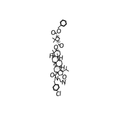 CC(C)C1=C2[C@H]3CC[C@@H]4[C@@]5(C)CC[C@H](OC(=O)[C@H]6C[C@@H](C(=O)OCc7ccccc7)C6(C)C)C(C)(C)[C@@H]5CC[C@@]4(C)[C@]3(C)CC[C@@]2(C(=O)N(CCN(C)C)Cc2ccc(Cl)cc2)CC1=O